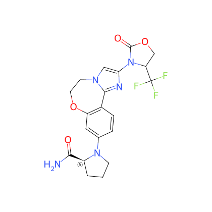 NC(=O)[C@@H]1CCCN1c1ccc2c(c1)OCCn1cc(N3C(=O)OCC3C(F)(F)F)nc1-2